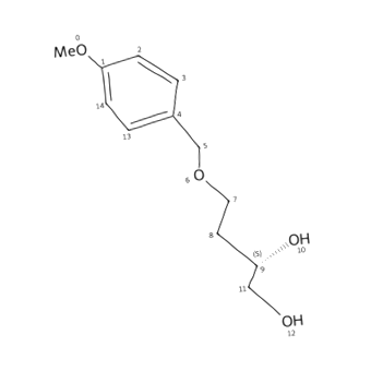 COc1ccc(COCC[C@H](O)CO)cc1